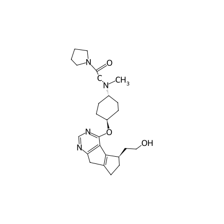 CN(CC(=O)N1CCCC1)[C@H]1CC[C@H](Oc2ncnc3c2C2=C(CC[C@@H]2CCO)C3)CC1